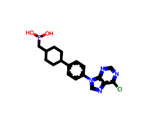 OP(O)CC1CCC(c2ccc(-n3cnc4c(Cl)ncnc43)cc2)CC1